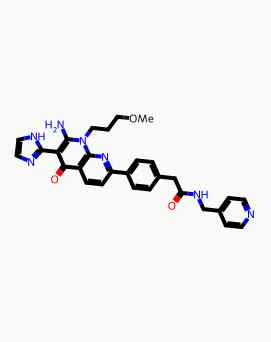 COCCCn1c(N)c(-c2ncc[nH]2)c(=O)c2ccc(-c3ccc(CC(=O)NCc4ccncc4)cc3)nc21